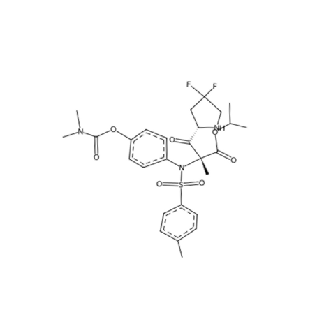 Cc1ccc(S(=O)(=O)N(c2ccc(OC(=O)N(C)C)cc2)[C@@](C)(C(=O)OC(C)C)C(=O)[C@@H]2CC(F)(F)CN2)cc1